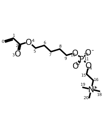 C=CC(=O)OCCCCCOP(=O)([O-])OCC[N+](C)(C)C